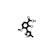 COc1ccc(C(=O)O)c(Cl)c1-c1cc(C)no1